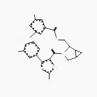 COc1cc(OC)cc(C(=O)NCC2C3CC3CN2C(=O)c2nc(N)sc2-c2cccc(F)c2)c1